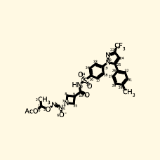 CC(=O)OC(C)ON=[N+]([O-])N1CC(C(=O)NS(=O)(=O)c2ccc(-n3nc(C(F)(F)F)cc3-c3ccc(C)cc3)cc2)C1